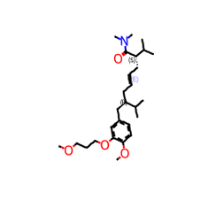 COCCCOc1cc(C[C@@H](C/C=C/C[C@H](C(=O)N(C)C)C(C)C)C(C)C)ccc1OC